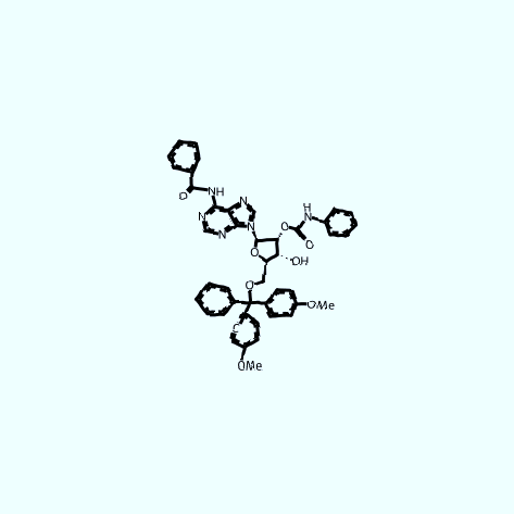 COc1ccc(C(OC[C@H]2O[C@@H](n3cnc4c(NC(=O)c5ccccc5)ncnc43)[C@H](OC(=O)Nc3ccccc3)[C@@H]2O)(c2ccccc2)c2ccc(OC)cc2)cc1